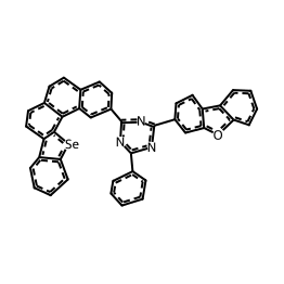 c1ccc(-c2nc(-c3ccc4c(c3)oc3ccccc34)nc(-c3ccc4ccc5ccc6c7ccccc7[se]c6c5c4c3)n2)cc1